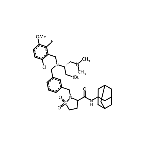 COc1ccc(Cl)c(CN(Cc2cccc(CN3C(C(=O)NC45CC6CC(CC(C6)C4)C5)CCS3(=O)=O)c2)[C@H](CN(C)C)CC(C)(C)C)c1F